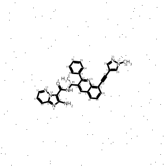 C[C@@H](NC(=O)c1c(N)nc2cccnn12)c1cc2cccc(C#Cc3cnn(C)c3)c2nc1-c1ccccc1